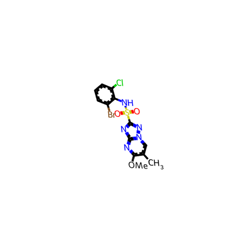 COc1nc2nc(S(=O)(=O)Nc3c(Cl)cccc3Br)nn2cc1C